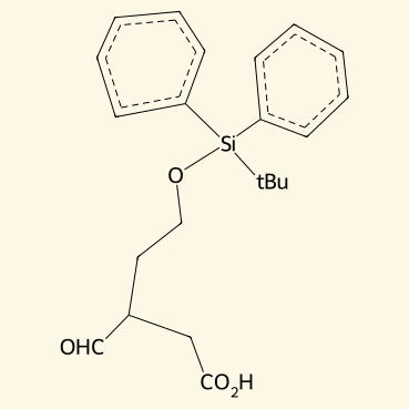 CC(C)(C)[Si](OCCC(C=O)CC(=O)O)(c1ccccc1)c1ccccc1